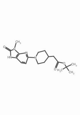 Cn1c(=O)[nH]c2ccc(N3CCC(CC(=O)OC(C)(C)C)CC3)nc21